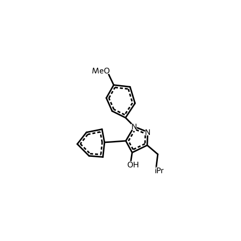 COc1ccc(-n2nc(CC(C)C)c(O)c2-c2ccccc2)cc1